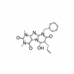 C=CCc1c(O)n2c3c(=O)n(C)c(=O)n(C)c3nc2n(Cc2ccccc2)c1=O